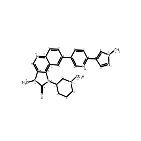 Cn1cc(-c2ccc(-c3ccc4ncc5c(c4c3)n(C3CCCN(C(=O)O)C3)c(=O)n5C)cn2)cn1